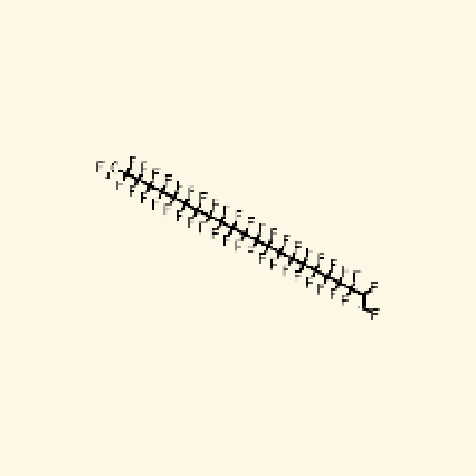 F/[C]=C(\F)C(F)(F)C(F)(F)C(F)(F)C(F)(F)C(F)(F)C(F)(F)C(F)(F)C(F)(F)C(F)(F)C(F)(F)C(F)(F)C(F)(F)C(F)(F)C(F)(F)C(F)(F)C(F)(F)C(F)(F)C(F)(F)C(F)(F)C(F)(F)C(F)(F)F